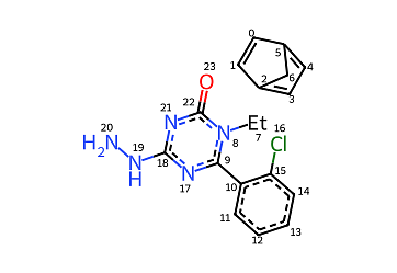 C1=CC2=CC=C1C2.CCn1c(-c2ccccc2Cl)nc(NN)nc1=O